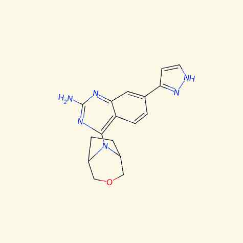 Nc1nc(N2C3CCC2COC3)c2ccc(-c3cc[nH]n3)cc2n1